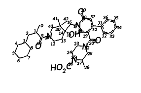 CC(CC1CCCCC1)C(=O)N1CCC(O)(Cn2cc(C(=O)N3CCN(C(=O)O)C(C)C3)c(-c3ccccc3)cc2=O)C(C)(C)C1